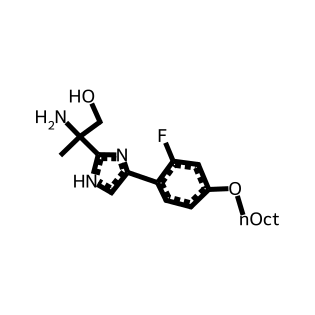 CCCCCCCCOc1ccc(-c2c[nH]c(C(C)(N)CO)n2)c(F)c1